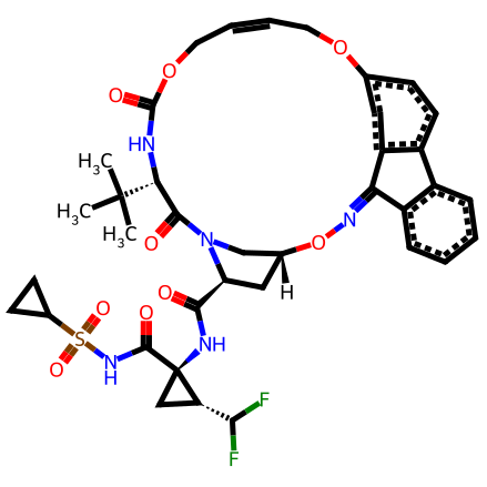 CC(C)(C)[C@@H]1NC(=O)OC/C=C\COc2ccc3c(c2)/C(=N\O[C@@H]2C[C@@H](C(=O)N[C@]4(C(=O)NS(=O)(=O)C5CC5)C[C@H]4C(F)F)N(C2)C1=O)c1ccccc1-3